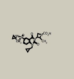 CC1C(n2c(=O)c3cc(S(=O)(=O)NC4(C)CC4)ccc3n(CC3CC3)c2=O)CN1C(=O)O